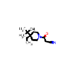 CCC1(C(C)(C)C)CCN(C(=O)CC#N)CC1